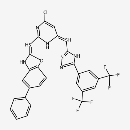 FC(F)(F)c1cc(-c2nnc([SH]=c3cc(Cl)nc([SH]=c4[nH]c5cc(-c6ccccc6)ccc5o4)[nH]3)[nH]2)cc(C(F)(F)F)c1